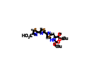 CC(C)(C)OC(=O)N[C@@H](Cc1nc(-c2nc(-c3nc(C(=O)O)cs3)cs2)cs1)C(=O)OC(C)(C)C